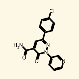 NC(=O)c1cc(-c2ccc(Cl)cc2)nn(-c2cccnc2)c1=O